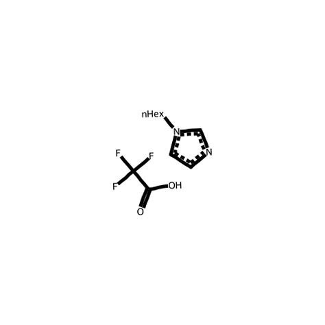 CCCCCCn1ccnc1.O=C(O)C(F)(F)F